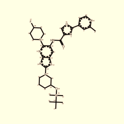 Cc1cc(-c2nc(C(=O)Nc3cc4sc(N5CCCC(O[Si](C)(C)C(C)(C)C)C5)nc4nc3N3CCC(F)CC3)co2)ccn1